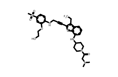 CN(C)CC(=O)N1CCC(Nc2cccc3c(CC(F)(F)F)c(C#CCNc4ccc(S(C)(=O)=O)cc4OCCO)sc23)CC1